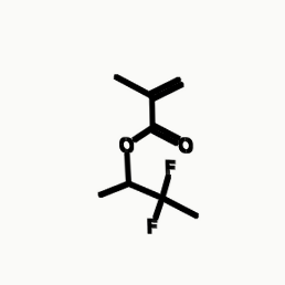 C=C(C)C(=O)OC(C)C(C)(F)F